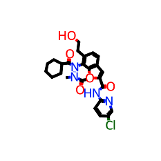 CC(=O)N(C)N(C(=O)C1CCCCC1)c1c(CCO)ccc2cc(C(=O)Nc3ccc(Cl)cn3)oc12